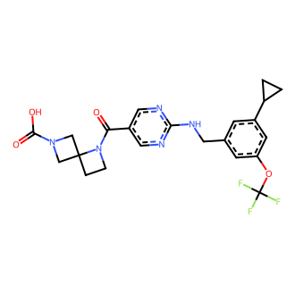 O=C(O)N1CC2(CCN2C(=O)c2cnc(NCc3cc(OC(F)(F)F)cc(C4CC4)c3)nc2)C1